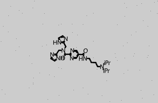 CC(C)N(CCCCNC(=O)c1cnc(C(=O)N(Cc2ncc[nH]2)Cc2ncc[nH]2)nc1)C(C)C